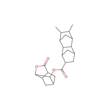 CC1C(C)C2CC1C1C3CC(C(=O)OC4C5CC6C(=O)OC4C6C5)C(C3)C21